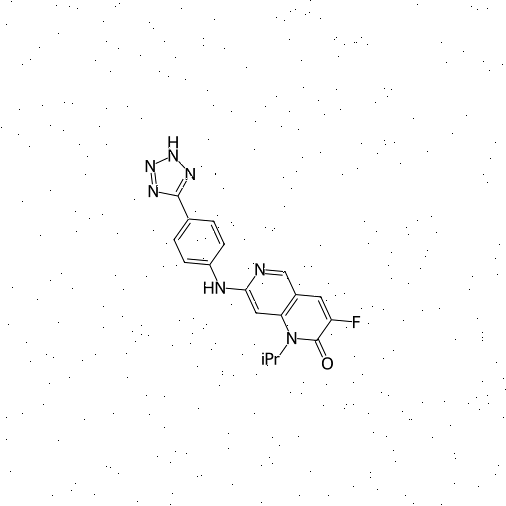 CC(C)n1c(=O)c(F)cc2cnc(Nc3ccc(-c4nn[nH]n4)cc3)cc21